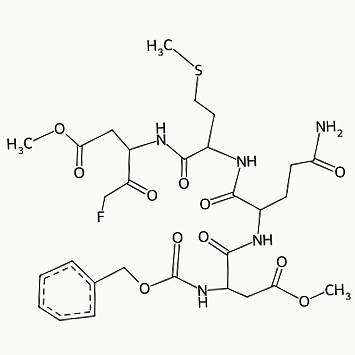 COC(=O)CC(NC(=O)C(CCSC)NC(=O)C(CCC(N)=O)NC(=O)C(CC(=O)OC)NC(=O)OCc1ccccc1)C(=O)CF